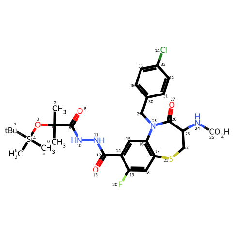 CC(C)(O[Si](C)(C)C(C)(C)C)C(=O)NNC(=O)c1cc2c(cc1F)SCC(NC(=O)O)C(=O)N2Cc1ccc(Cl)cc1